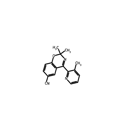 Cc1cccnc1C1=NC(C)(C)Oc2ccc(C#N)cc21